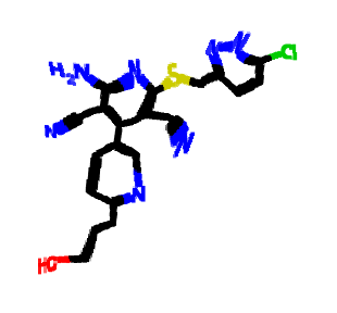 N#Cc1c(N)nc(SCc2ccc(Cl)nn2)c(C#N)c1-c1ccc(CCCO)nc1